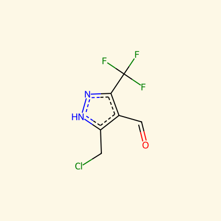 O=Cc1c(C(F)(F)F)n[nH]c1CCl